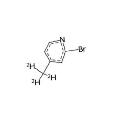 [2H]C([2H])([2H])c1ccnc(Br)c1